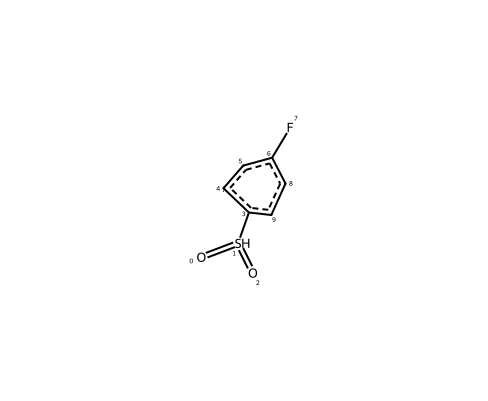 O=[SH](=O)c1[c]cc(F)cc1